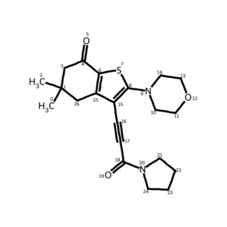 CC1(C)CC(=O)c2sc(N3CCOCC3)c(C#CC(=O)N3CCCC3)c2C1